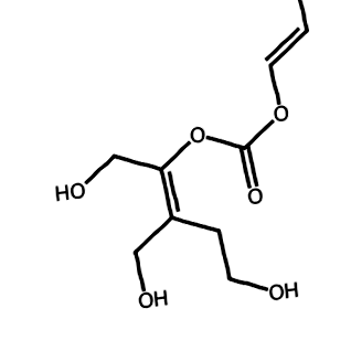 CCC=COC(=O)OC(CO)=C(CO)CCO